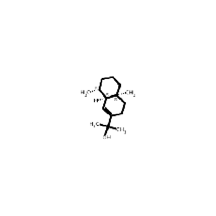 C[C@@H]1CCC[C@@]2(C)CCC(C(C)(C)O)=C[C@@H]12